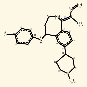 C/C(N=N)=C1/NCCC(Nc2ccc(Cl)cc2)c2cc(C3CCN(C)CC3)ccc21